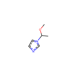 COC(C)n1ccnc1